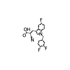 N#C/C(=C\c1cn(Cc2ccc(F)c(F)c2)c2ccc(F)cc12)C(=O)O